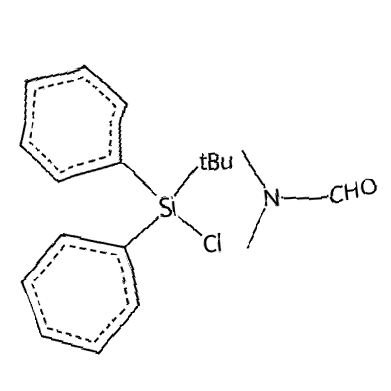 CC(C)(C)[Si](Cl)(c1ccccc1)c1ccccc1.CN(C)C=O